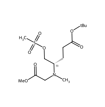 COC(=O)CN(C)[C@@H](CCC(=O)OC(C)(C)C)COS(C)(=O)=O